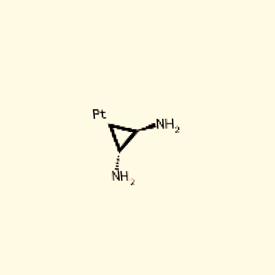 N[C@@H]1C[C@H]1N.[Pt]